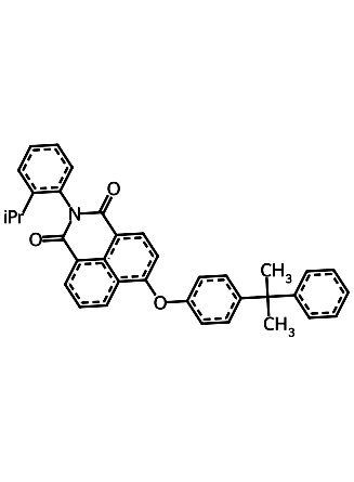 CC(C)c1ccccc1N1C(=O)c2cccc3c(Oc4ccc(C(C)(C)c5ccccc5)cc4)ccc(c23)C1=O